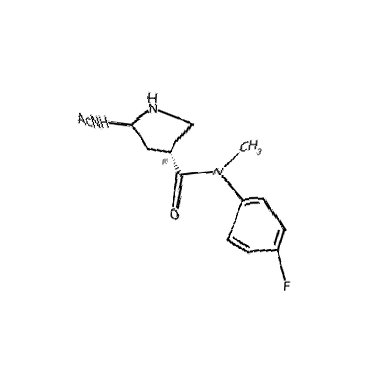 CC(=O)NC1C[C@@H](C(=O)N(C)c2ccc(F)cc2)CN1